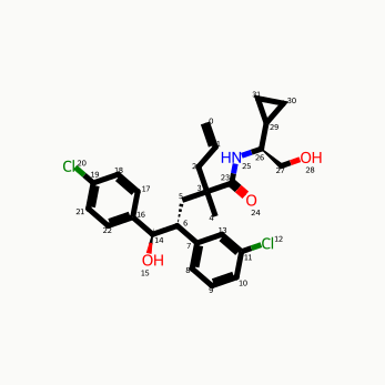 C=CCC(C)(C[C@H](c1cccc(Cl)c1)[C@@H](O)c1ccc(Cl)cc1)C(=O)N[C@H](CO)C1CC1